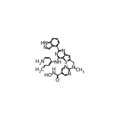 C=C/C=C(\C=C/N)Nc1nc(-c2cccc3[nH]ncc23)nc2cc(CN(C)c3ncc(C(=O)NO)cn3)sc12